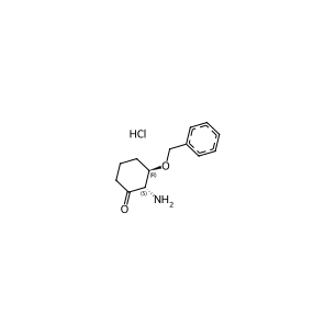 Cl.N[C@@H]1C(=O)CCC[C@H]1OCc1ccccc1